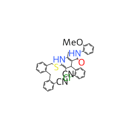 COc1ccccc1NC(=O)C1=C(C)NC(SCc2ccccc2Cc2ccccc2C#N)=C(C#N)C1c1ccccc1Cl